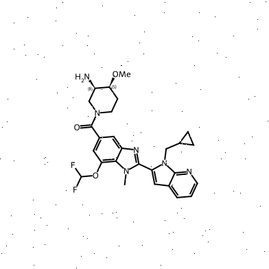 CO[C@H]1CCN(C(=O)c2cc(OC(F)F)c3c(c2)nc(-c2cc4cccnc4n2CC2CC2)n3C)C[C@H]1N